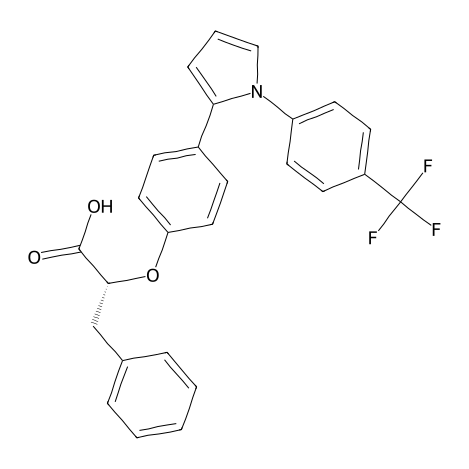 O=C(O)[C@@H](Cc1ccccc1)Oc1ccc(-c2cccn2-c2ccc(C(F)(F)F)cc2)cc1